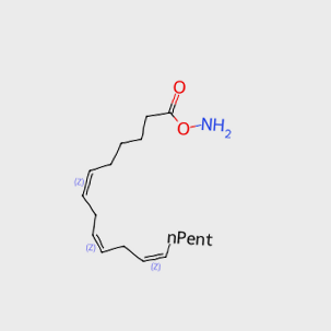 CCCCC/C=C\C/C=C\C/C=C\CCCCC(=O)ON